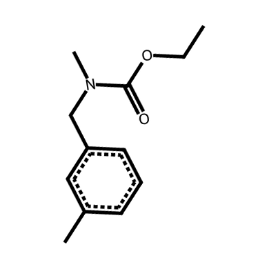 CCOC(=O)N(C)Cc1cccc(C)c1